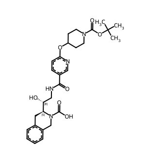 CC(C)(C)OC(=O)N1CCC(Oc2ccc(C(=O)NC[C@@H](O)[C@@H]3Cc4ccccc4CN3C(=O)O)cn2)CC1